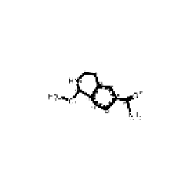 COC1NCCc2cc(C(N)=O)ccc21